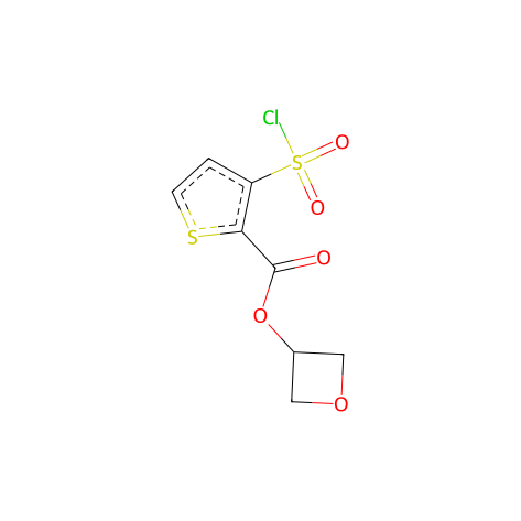 O=C(OC1COC1)c1sccc1S(=O)(=O)Cl